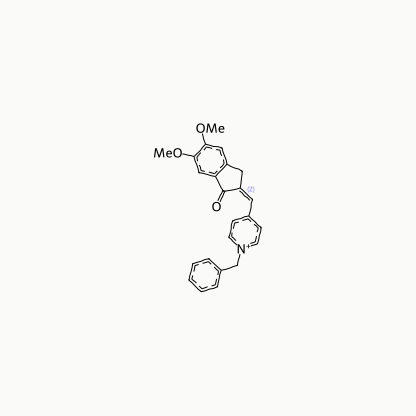 COc1cc2c(cc1OC)C(=O)/C(=C\c1cc[n+](Cc3ccccc3)cc1)C2